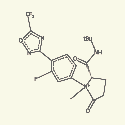 CC(C)(C)NC(=O)[C@@H]1CCC(=O)[N+]1(C)c1ccc(-c2noc(C(F)(F)F)n2)c(F)c1